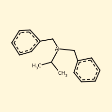 C[CH](C)[Al]([CH2]c1ccccc1)[CH2]c1ccccc1